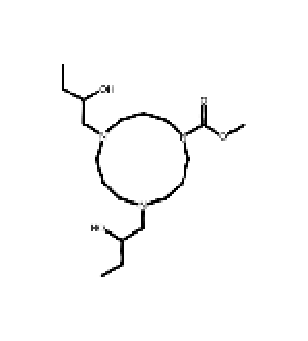 CCC(O)CN1CCCN(CC(O)CC)CCCN(C(=O)OC)CCC1